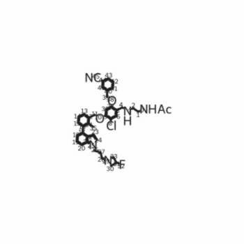 CC(=O)NCCNCc1cc(Cl)c(OCc2cccc(-c3cccc4c3ccn4CCCN3CC(F)C3)c2C)cc1OCc1cccc(C#N)c1